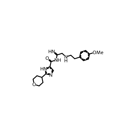 COc1ccc(CCNCC(=N)NC(=O)c2cnc(C3CCOCC3)[nH]2)cc1